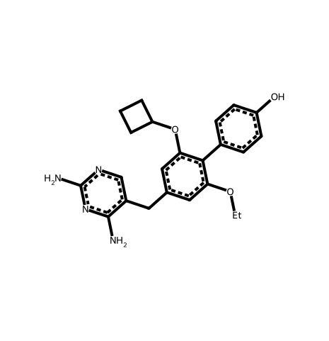 CCOc1cc(Cc2cnc(N)nc2N)cc(OC2CCC2)c1-c1ccc(O)cc1